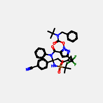 CC(C)(C)N(Cc1ccccc1)C(=O)On1nc(C(F)(F)F)cc1C(=O)N(c1ccccc1)[C@](CCC1CC1)(NS(=O)(=O)C(C)(C)C)c1ccc(C#N)cc1